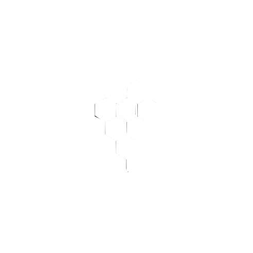 COc1c(C)c(OC)c2c(c1OC)[C@@H](C)CC[C@@H]2[C@@H](C)CCCO